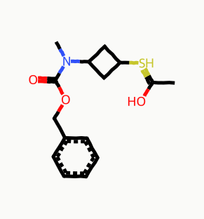 CC(O)=[SH]C1CC(N(C)C(=O)OCc2ccccc2)C1